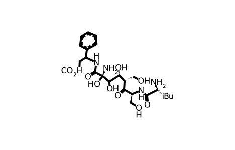 CC[C@@H](C)[C@H](N)C(=O)N[C@@H](CO)C(=O)[C@@H](CO)[C@@H](O)C(O)[C@](N)(O)C(=O)NC(CC(=O)O)c1ccccc1